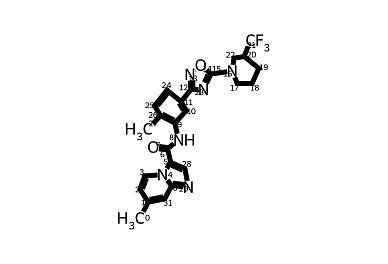 Cc1ccn2c(C(=O)Nc3cc(-c4noc(N5CCCC(C(F)(F)F)C5)n4)ccc3C)cnc2c1